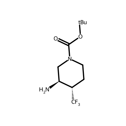 CC(C)(C)OC(=O)N1CC[C@H](C(F)(F)F)[C@@H](N)C1